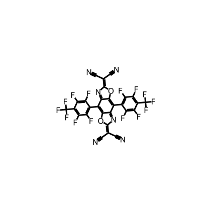 N#CC(C#N)=c1nc2c(-c3c(F)c(F)c(C(F)(F)F)c(F)c3F)c3oc(=C(C#N)C#N)nc3c(-c3c(F)c(F)c(C(F)(F)F)c(F)c3F)c2o1